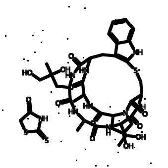 CC1NC(=O)C(CC(C)(O)CO)NC(=O)C2Cc3c([nH]c4ccccc34)SCC(NC(=O)C(C(C)O)NC1=O)C(=O)N1CC(O)CC1C(=O)NC(C)C(=O)N2.O=C1CSC(=S)N1